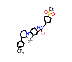 CCS(=O)(=O)c1ccc(CNC(=O)c2ccc(N3CCCC(c4ccc(C(F)(F)F)cc4)C3)c(C(F)(F)F)c2)cc1